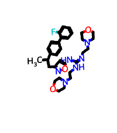 CC(Cc1cc(NC(=NCCN2CCOCC2)NCCN2CCOCC2)on1)c1ccc(-c2ccccc2F)cc1